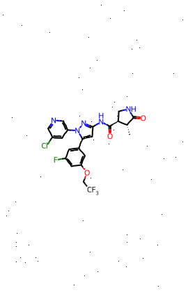 C[C@H]1C(=O)NC[C@@H]1C(=O)Nc1cc(-c2cc(F)cc(OCC(F)(F)F)c2)n(-c2cncc(Cl)c2)n1